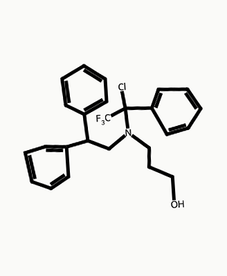 OCCCN(CC(c1ccccc1)c1ccccc1)C(Cl)(c1ccccc1)C(F)(F)F